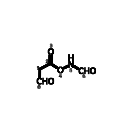 O=CCC(=O)ONC=O